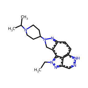 CCn1nc2cn[nH]c3ccc4c(c1c2=3)CN(C1CCN(C(C)C)CC1)N=4